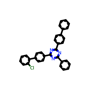 Clc1ccccc1-c1ccc(-c2nc(-c3ccccc3)nc(-c3ccc(-c4ccccc4)cc3)n2)cc1